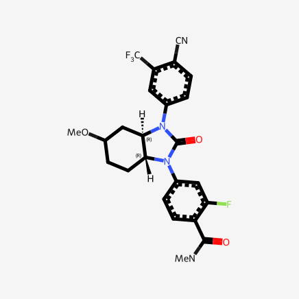 CNC(=O)c1ccc(N2C(=O)N(c3ccc(C#N)c(C(F)(F)F)c3)[C@@H]3CC(OC)CC[C@H]32)cc1F